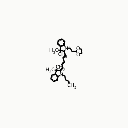 C=CCCN1/C(=C/C=C/C=C/C2=[N+](CCC3OCCO3)c3ccccc3C2(C)C)C(C)(C)c2ccccc21